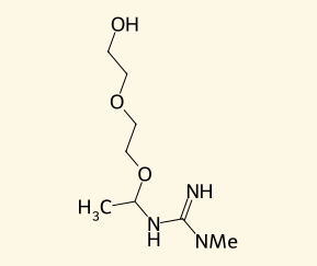 CNC(=N)NC(C)OCCOCCO